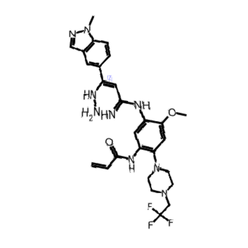 C=CC(=O)Nc1cc(NC(=N)/C=C(\NN)c2ccc3c(cnn3C)c2)c(OC)cc1N1CCN(CC(F)(F)F)CC1